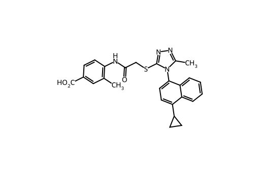 Cc1cc(C(=O)O)ccc1NC(=O)CSc1nnc(C)n1-c1ccc(C2CC2)c2ccccc12